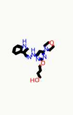 OCCCCOc1nc(N/N=C\c2c[nH]c3ccccc23)cc(N2CCOCC2)n1